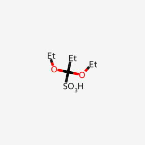 CCOC(CC)(OCC)S(=O)(=O)O